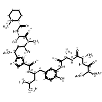 CC[C@H](C)[C@H](NC(=O)[C@H]1CCCCN1C)C(=O)N(C)[C@H](C[C@@H](OC(C)=O)c1nc(C(=O)N[C@@H](Cc2ccc(O)c(NC(=O)[C@H](C)NC(=O)[C@H](C)NC(=O)C(NC(C)=O)NC(C)=O)c2)CC(C)C(=O)O)cs1)C(C)C